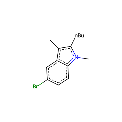 CCCCc1c(C)c2cc(Br)ccc2n1C